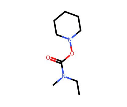 CCN(C)C(=O)ON1CCCCC1